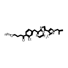 C=C(C)Cn1cc(-c2cnc3c(Cc4ccc(C(=O)CCCOCCC)c(CC)c4)nccn23)c(C(F)(F)F)n1